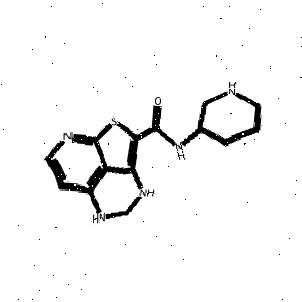 O=C(NC1CCCNC1)c1sc2nccc3c2c1NCN3